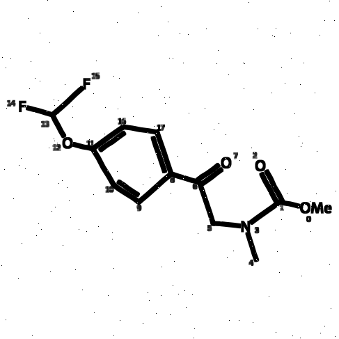 COC(=O)N(C)CC(=O)c1ccc(OC(F)F)cc1